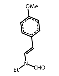 CCN(C=O)C=Cc1ccc(OC)cc1